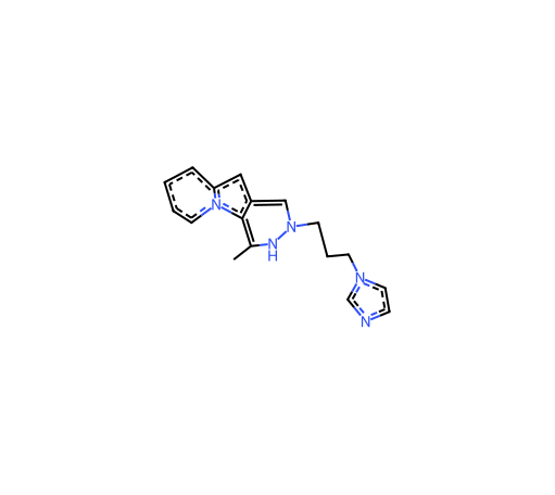 CC1=c2c(cc3ccccn23)=CN(CCCn2ccnc2)N1